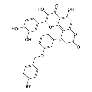 CC(C)c1ccc(COc2cccc([C@H]3CC(=O)Oc4cc(O)c5c(=O)c(O)c(-c6ccc(O)c(O)c6)oc5c43)c2)cc1